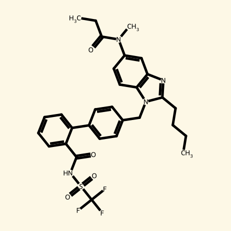 CCCCc1nc2cc(N(C)C(=O)CC)ccc2n1Cc1ccc(-c2ccccc2C(=O)NS(=O)(=O)C(F)(F)F)cc1